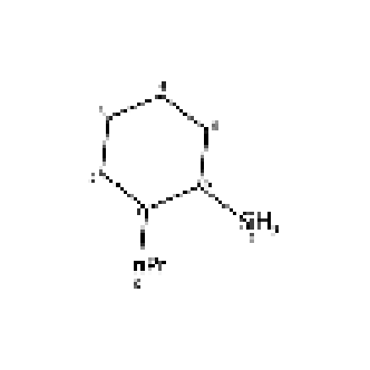 CCCC1CCCCC1[SiH3]